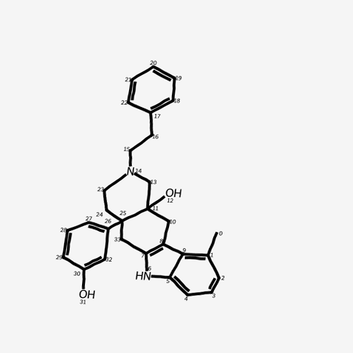 Cc1cccc2[nH]c3c(c12)CC1(O)CN(CCc2ccccc2)CCC1(c1cccc(O)c1)C3